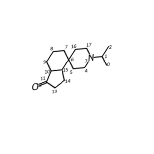 CC(C)N1CCC2(CCCC3C(=O)CCC32)CC1